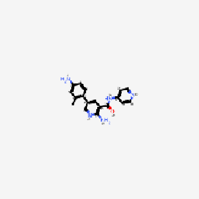 Cc1cc(N)ccc1-c1cnc(N)c(C(=O)Nc2ccncc2)c1